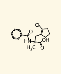 C[C@@](CC1=C(Cl)CCC1)(NC(=O)c1ccccc1)C(=O)O